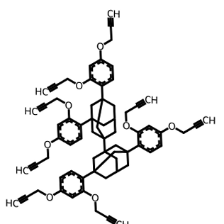 C#CCOc1ccc(C23CC4CC(c5ccc(OCC#C)cc5OCC#C)(C2)CC(C25CC6CC(c7ccc(OCC#C)cc7OCC#C)(CC(c7ccc(OCC#C)cc7OCC#C)(C6)C2)C5)(C4)C3)c(OCC#C)c1